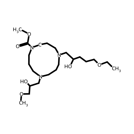 CCOCCCC(O)CN1CCCN(CC(O)COC)CCCN(C(=O)OC)CCC1